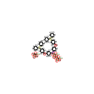 [O-][Cl+3]([O-])([O-])[O-].[O-][Cl+3]([O-])([O-])[O-].[O-][Cl+3]([O-])([O-])[O-].c1ccc([S+](c2ccccc2)c2ccc(Oc3ccc([I+]c4ccc(Oc5ccc([S+](c6ccccc6)c6ccccc6)cc5)cc4)cc3)cc2)cc1